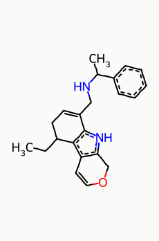 CCC1CC=C(CNC(C)c2ccccc2)c2[nH]c3c(c21)C=COC3